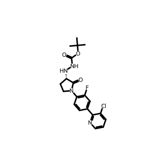 CC(C)(C)OC(=O)NN[C@H]1CCN(c2ccc(-c3ncccc3Cl)cc2F)C1=O